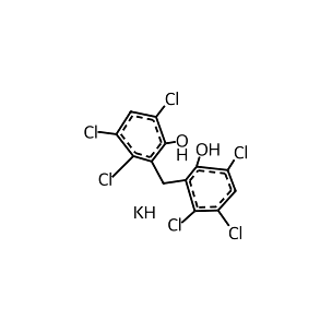 Oc1c(Cl)cc(Cl)c(Cl)c1Cc1c(O)c(Cl)cc(Cl)c1Cl.[KH]